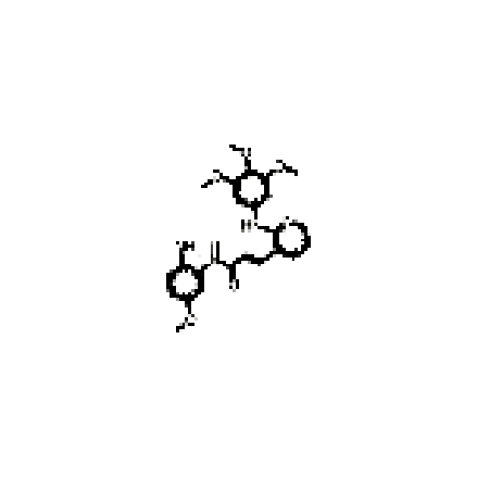 COc1ccc(N)c(NC(=O)/C=C/c2cccnc2Nc2cc(OC)c(OC)c(OC)c2)c1